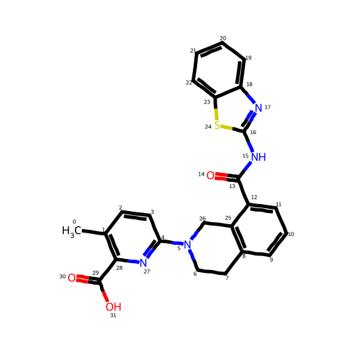 Cc1ccc(N2CCc3cccc(C(=O)Nc4nc5ccccc5s4)c3C2)nc1C(=O)O